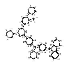 CC1(C)c2ccccc2-c2ccc(-c3nc(-c4ccccc4)nc(-c4ccc(-n5c6ccccc6c6cc(-n7c8ccccc8c8ccccc87)ccc65)cc4)n3)cc21